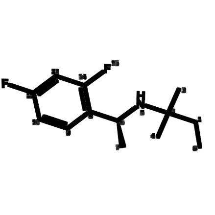 CCC(C)(C)N[C@@H](C)c1ccc(F)cc1F